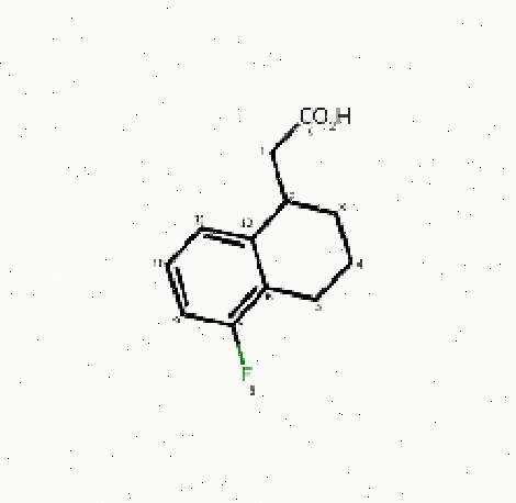 O=C(O)CC1CCCc2c(F)cccc21